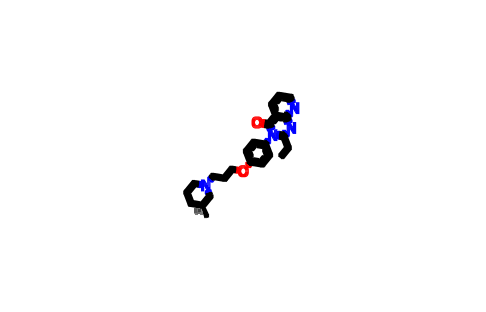 CCc1nc2ncccc2c(=O)n1-c1ccc(OCCCN2CCC[C@H](C)C2)cc1